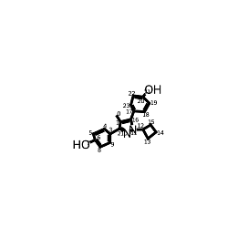 Cc1c(-c2ccc(O)cc2)nn(C2CCC2)c1-c1ccc(O)cc1